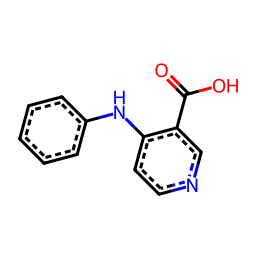 O=C(O)c1cnccc1Nc1ccccc1